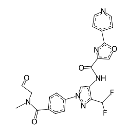 CN(CC=O)C(=O)c1ccc(-n2cc(NC(=O)c3coc(-c4ccncc4)n3)c(C(F)F)n2)cc1